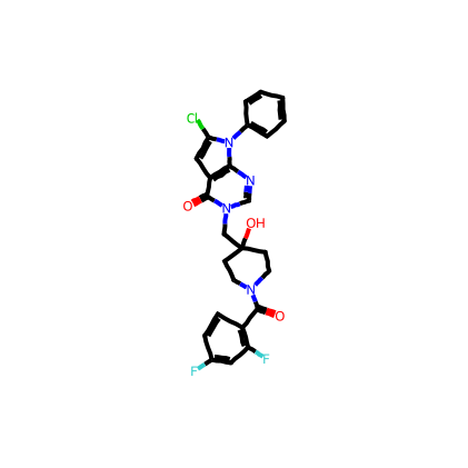 O=C(c1ccc(F)cc1F)N1CCC(O)(Cn2cnc3c(cc(Cl)n3-c3ccccc3)c2=O)CC1